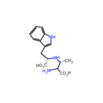 C[C@@H](N[C@@H](Cc1c[nH]c2ccccc12)C(=O)O)[C@H](N)C(=O)O